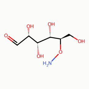 NO[C@H](CO)[C@@H](O)[C@H](O)[C@@H](O)C=O